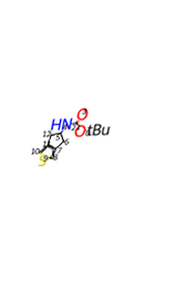 CC(C)(C)OC(=O)NC1Cc2cscc2C1